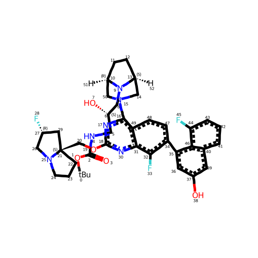 CC(C)(C)OC(=O)NC[C@H](O)CN1[C@@H]2CC[C@H]1CN(c1nc(OC[C@@]34CCCN3C[C@H](F)C4)nc3c(F)c(-c4cc(O)cc5cccc(F)c45)ccc13)C2